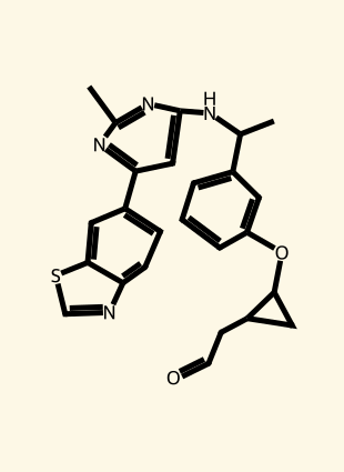 Cc1nc(NC(C)c2cccc(OC3CC3CC=O)c2)cc(-c2ccc3ncsc3c2)n1